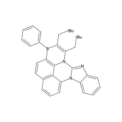 CC(C)(C)CC1=C(CC(C)(C)C)n2c3c(ccc4cccc(c43)n3c4ccccc4nc23)B1c1ccccc1